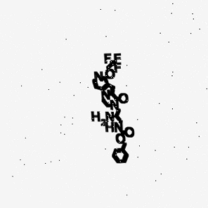 N[C@@H](CNC(=O)OCc1ccccc1)CN1CCn2c(cc3c(OCC(F)(F)F)nccc32)C1=O